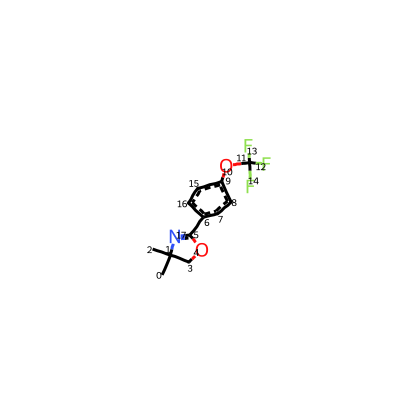 CC1(C)COC(c2ccc(OC(F)(F)F)cc2)=N1